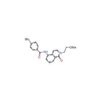 COCCn1ccc2c(NC(=O)c3ccc(C(C)(C)C)cc3)cccc2c1=O